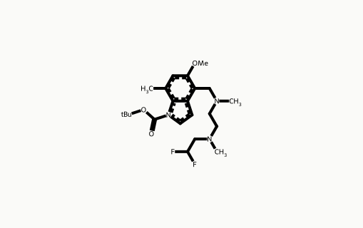 COc1cc(C)c2c(ccn2C(=O)OC(C)(C)C)c1CN(C)CCN(C)CC(F)F